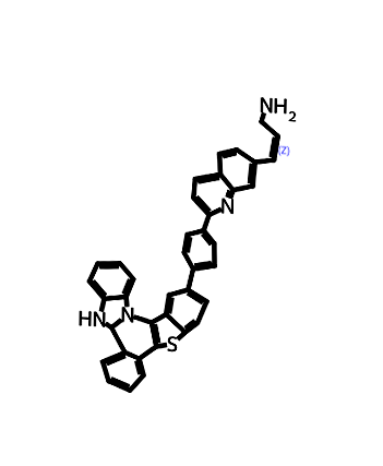 NC/C=C\c1ccc2ccc(-c3ccc(-c4ccc5sc6c(c5c4)N4c5ccccc5NC4c4ccccc4-6)cc3)nc2c1